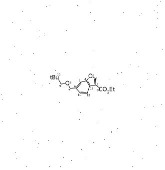 CCOC(=O)c1coc2cc(COCC(C)(C)C)ccc12